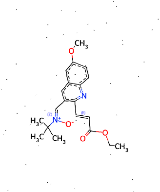 CCOC(=O)/C=C/c1nc2ccc(OC)cc2cc1/C=[N+](\[O-])C(C)(C)C